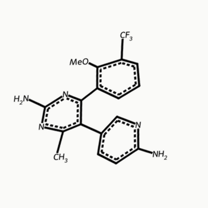 COc1c(-c2nc(N)nc(C)c2-c2ccc(N)nc2)cccc1C(F)(F)F